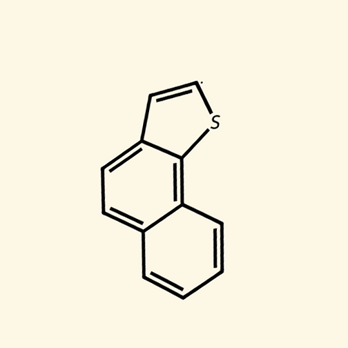 [c]1cc2ccc3ccccc3c2s1